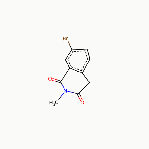 CN1C(=O)Cc2ccc(Br)cc2C1=O